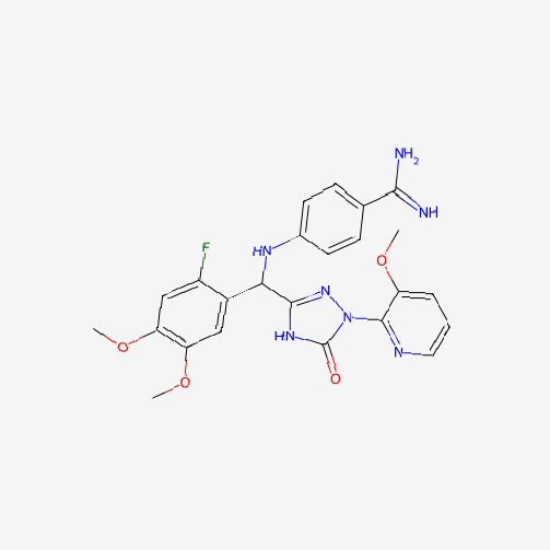 COc1cc(F)c(C(Nc2ccc(C(=N)N)cc2)c2nn(-c3ncccc3OC)c(=O)[nH]2)cc1OC